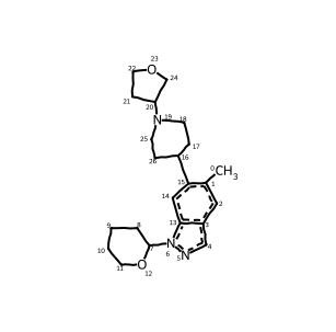 Cc1cc2cnn(C3CCCCO3)c2cc1C1CCN(C2CCOC2)CC1